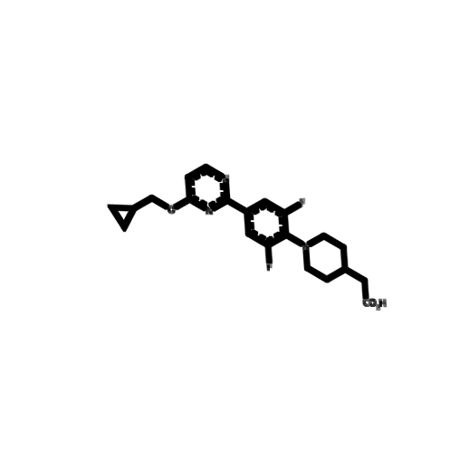 O=C(O)CC1CCN(c2c(F)cc(-c3nccc(OCC4CC4)n3)cc2F)CC1